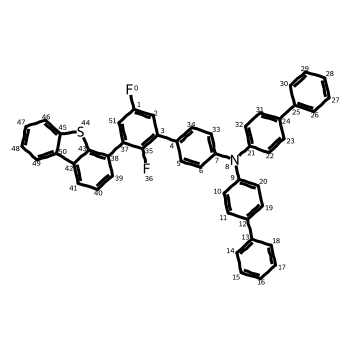 Fc1cc(-c2ccc(N(c3ccc(-c4ccccc4)cc3)c3ccc(-c4ccccc4)cc3)cc2)c(F)c(-c2cccc3c2sc2ccccc23)c1